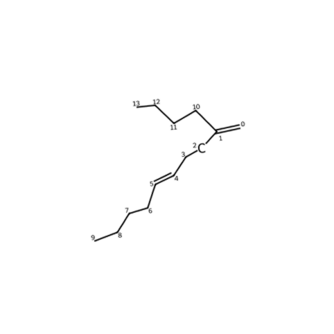 C=C(CCC=CCCCC)CCCC